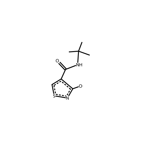 CC(C)(C)NC(=O)c1csnc1[O]